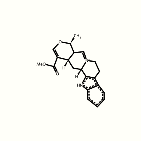 COC(=O)C1=CO[C@@H](C)C2C=[N+]3CCc4c([nH]c5ccccc45)[C@@H]3C[C@H]12